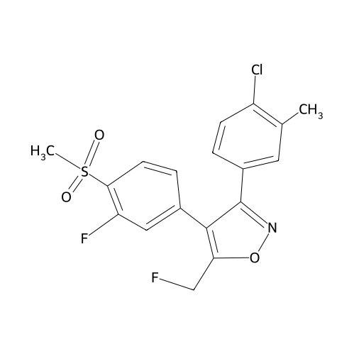 Cc1cc(-c2noc(CF)c2-c2ccc(S(C)(=O)=O)c(F)c2)ccc1Cl